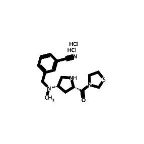 CN(Cc1cccc(C#N)c1)[C@@H]1CN[C@H](C(=O)N2CCSC2)C1.Cl.Cl